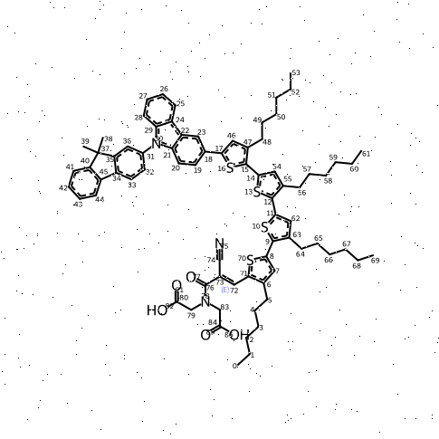 CCCCCCc1cc(-c2sc(-c3sc(-c4sc(-c5ccc6c(c5)c5ccccc5n6-c5ccc6c(c5)C(C)(C)c5ccccc5-6)cc4CCCCCC)cc3CCCCCC)cc2CCCCCC)sc1/C=C(\C#N)C(=O)N(CC(=O)O)CC(=O)O